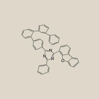 c1ccc(-c2cccc(-c3ccccc3-c3ccc(-c4nc(-c5ccccc5)nc(-c5cccc6c5oc5ccccc56)n4)cc3)c2)cc1